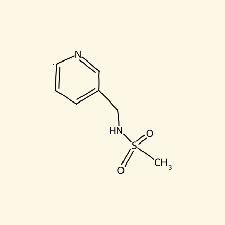 CS(=O)(=O)NCc1cc[c]nc1